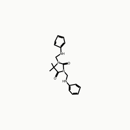 CC1(C)C(=O)N(CNc2ccccc2)C(=O)N1CNc1ccccc1